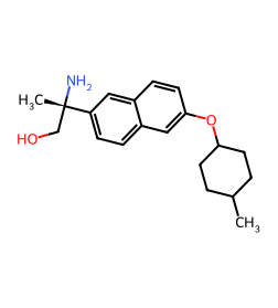 CC1CCC(Oc2ccc3cc([C@@](C)(N)CO)ccc3c2)CC1